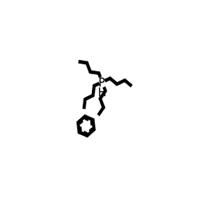 CCCC[PH](CCCC)(CCCC)CCCC.c1ccccc1